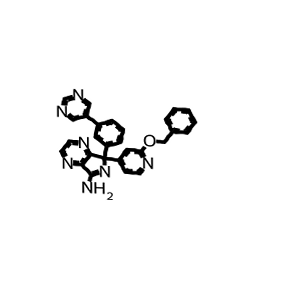 NC1=NC(c2cccc(-c3cncnc3)c2)(c2ccnc(OCc3ccccc3)c2)c2nccnc21